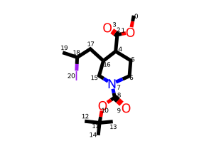 COC(=O)C1CCN(C(=O)OC(C)(C)C)CC1CC(C)I